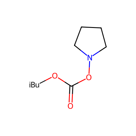 CCC(C)OC(=O)ON1CCCC1